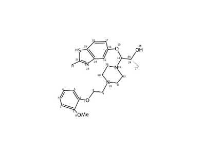 COc1ccccc1OCCN1CCN(C(Oc2ccc3sc(C)nc3c2)[C@@H](C)O)CC1